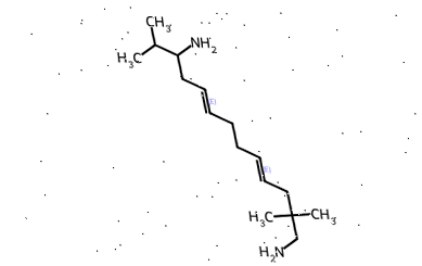 CC(C)C(N)C/C=C/CC/C=C/CC(C)(C)CN